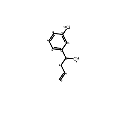 C=CCC(O)c1cccc(Cl)c1